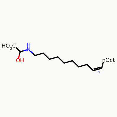 CCCCCCCC/C=C\CCCCCCCCNC(O)C(=O)O